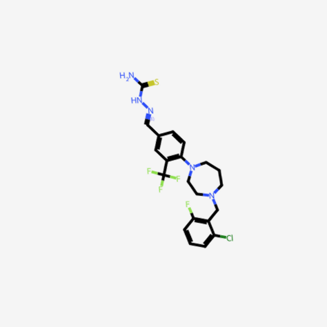 NC(=S)N/N=C/c1ccc(N2CCCN(Cc3c(F)cccc3Cl)CC2)c(C(F)(F)F)c1